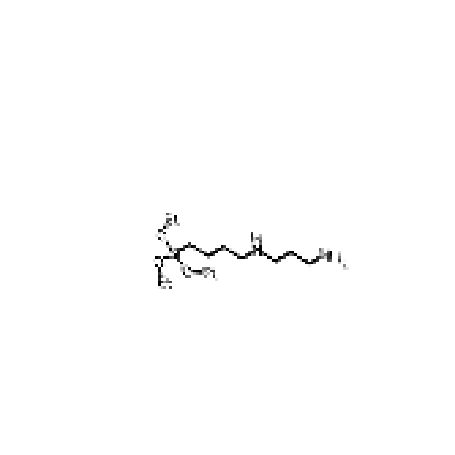 CCO[Si](CCCCNCCCN)(OCC)OCC